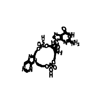 Nc1nc2c(ncn2[C@@H]2O[C@@H]3COP(=O)(O)OCCn4c(nc5cncnc54)COP(=O)(S)O[C@@H]2[C@@H]3F)c(=O)[nH]1